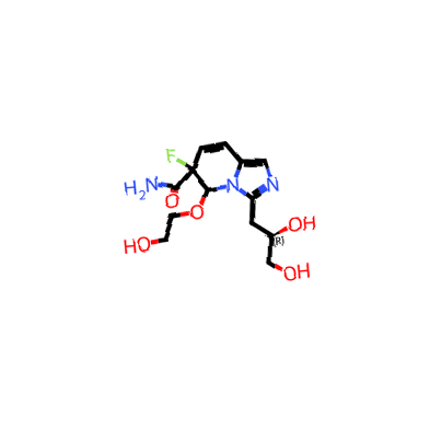 NC(=O)C1(F)C=Cc2cnc(C[C@@H](O)CO)n2C1OCCO